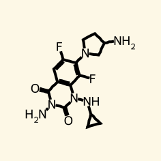 NC1CCN(c2c(F)cc3c(=O)n(N)c(=O)n(NC4CC4)c3c2F)C1